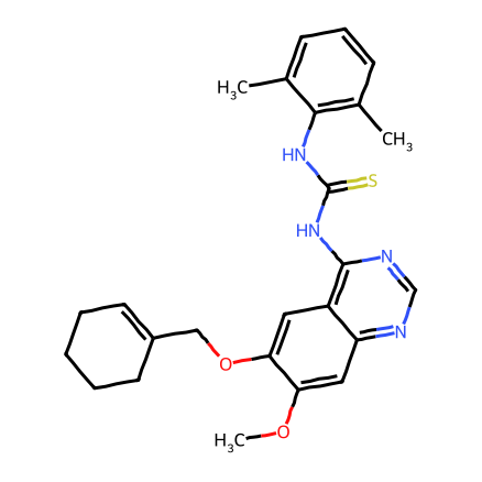 COc1cc2ncnc(NC(=S)Nc3c(C)cccc3C)c2cc1OCC1=CCCCC1